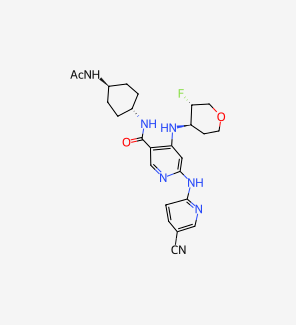 CC(=O)N[C@H]1CC[C@H](NC(=O)c2cnc(Nc3ccc(C#N)cn3)cc2N[C@@H]2CCOC[C@H]2F)CC1